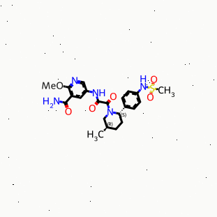 COc1ncc(NC(=O)C(=O)N2C[C@H](C)CC[C@H]2c2ccc(NS(C)(=O)=O)cc2)cc1C(N)=O